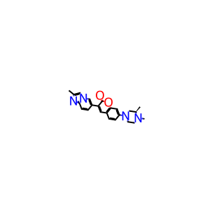 Cc1cn2cc(-c3cc4ccc(N5CCN(C)[C@H](C)C5)cc4oc3=O)ccc2n1